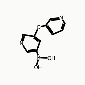 OB(O)c1cncc(Oc2cccnc2)c1